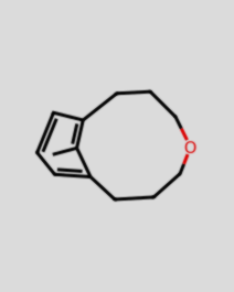 Cc1c2cccc1CCCOCCC2